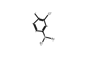 CCN(C(C)=O)c1ccc(C)c(Cl)c1